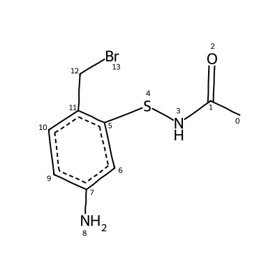 CC(=O)NSc1cc(N)ccc1CBr